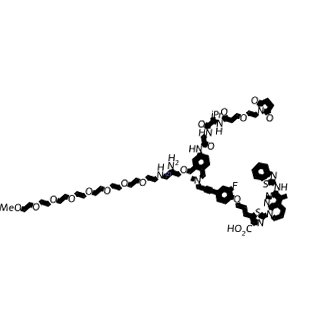 COCCOCCOCCOCCOCCOCCOCCOCCN/C=C(\N)COCc1cc(NC(=O)CNC(=O)C(NC(=O)CCOCCN2C(=O)C=CC2=O)C(C)C)ccc1CN(C)CC#Cc1ccc(OCCCc2sc(N3CCCc4c3nnc(Nc3nc5ccccc5s3)c4C)nc2C(=O)O)c(F)c1